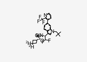 [2H]C1([2H])CC(S(=O)(=O)N[C@@H](c2cn(CC(C)(C)C)c3cc(-c4cccnc4C(F)(F)F)ccc23)C(F)F)C1